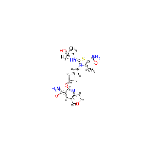 CC1=C(C(N)=O)SC(NCC(C)(C)O)N1C1CC2(CC(Oc3nc4c(cc3C(N)=O)COCC4)C2)C1